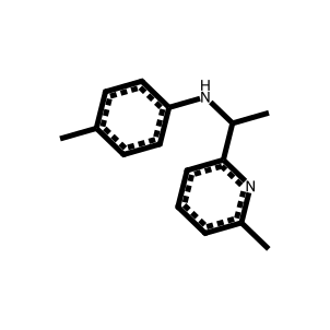 Cc1ccc(NC(C)c2cccc(C)n2)cc1